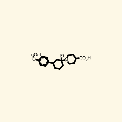 CCCCCCCCOc1ccc(C2CCCC(CC)(N3CCC(C(=O)O)CC3)C2)cc1